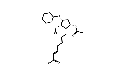 CC(=O)O[C@H]1C[C@@H](OC2CCCCO2)[C@@H](CO)[C@H]1CCCCC=CC(=O)O